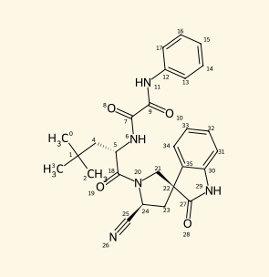 CC(C)(C)C[C@H](NC(=O)C(=O)Nc1ccccc1)C(=O)N1C[C@]2(C[C@H]1C#N)C(=O)Nc1ccccc12